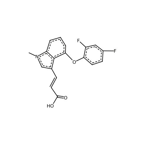 Cn1cc(/C=C/C(=O)O)c2c(Oc3ccc(F)cc3F)cccc21